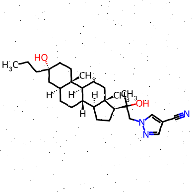 CCC[C@@]1(O)CC[C@@]2(C)[C@@H](CC[C@@H]3[C@@H]2CC[C@]2(C)[C@@H](C(C)(O)Cn4cc(C#N)cn4)CC[C@@H]32)C1